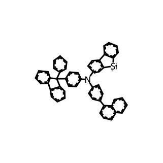 C[Si]1(C)c2ccccc2-c2ccc(N(c3ccc(-c4cccc5ccccc45)cc3)c3ccc(C4(c5ccccc5)c5ccccc5-c5ccccc54)cc3)cc21